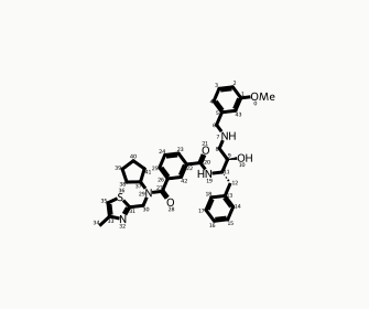 COc1cccc(CNC[C@@H](O)[C@H](Cc2ccccc2)NC(=O)c2cccc(C(=O)N(Cc3nc(C)cs3)C3CCCC3)c2)c1